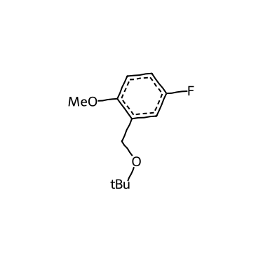 COc1ccc(F)cc1COC(C)(C)C